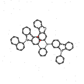 c1ccc(-n2c3ccccc3c3ccc(N(c4ccc5c(c4)sc4ccccc45)c4ccccc4-c4ccc5c6ccccc6n(-c6cccc7ccccc67)c5c4)cc32)cc1